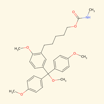 CNC(=O)OCCCCCc1cc(C(OC)(c2ccc(OC)cc2)c2ccc(OC)cc2)ccc1OC